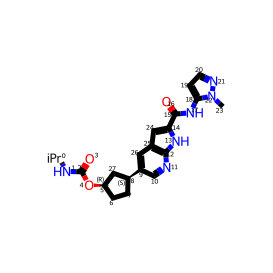 CC(C)NC(=O)O[C@@H]1CC[C@H](c2cnc3[nH]c(C(=O)Nc4ccnn4C)cc3c2)C1